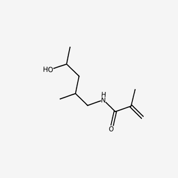 C=C(C)C(=O)NCC(C)CC(C)O